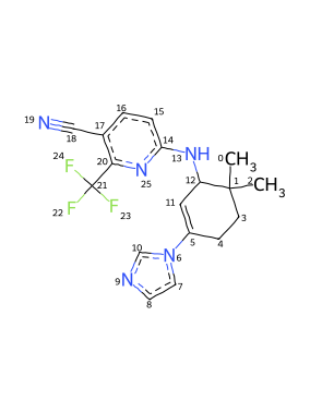 CC1(C)CCC(n2ccnc2)=CC1Nc1ccc(C#N)c(C(F)(F)F)n1